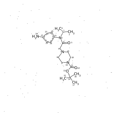 CC(C)N(C(=O)CN1CCN(C(=O)OC(C)(C)C)CC1)c1ccc(N)cc1